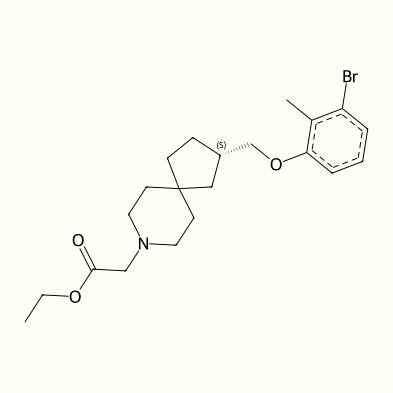 CCOC(=O)CN1CCC2(CC[C@H](COc3cccc(Br)c3C)C2)CC1